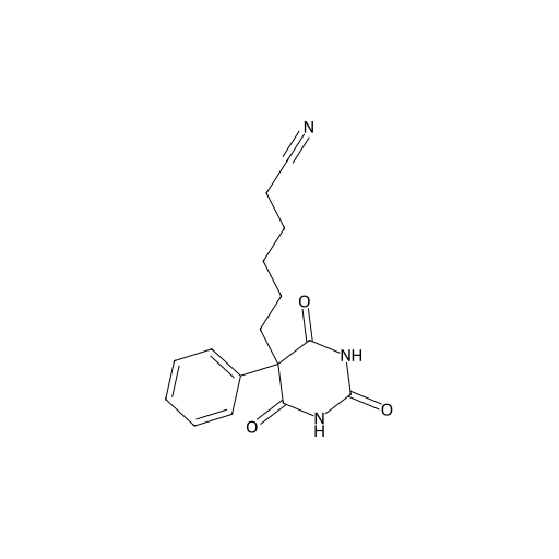 N#CCCCCCC1(c2ccccc2)C(=O)NC(=O)NC1=O